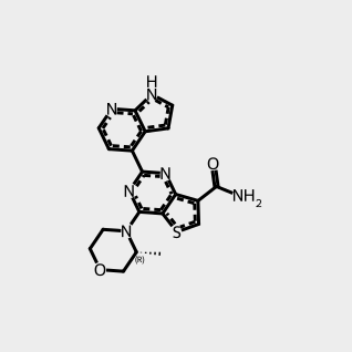 C[C@@H]1COCCN1c1nc(-c2ccnc3[nH]ccc23)nc2c(C(N)=O)csc12